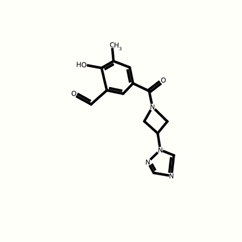 Cc1cc(C(=O)N2CC(n3cncn3)C2)cc(C=O)c1O